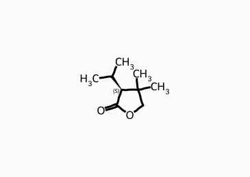 CC(C)[C@@H]1C(=O)OCC1(C)C